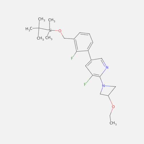 CCOC1CN(c2ncc(-c3cccc(CO[Si](C)(C)C(C)(C)C)c3F)cc2F)C1